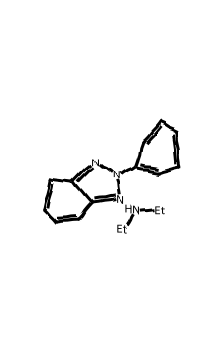 CCNCC.c1ccc(-n2nc3ccccc3n2)cc1